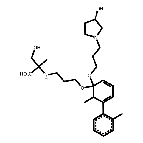 Cc1ccccc1C1=CC=CC(OCCCNC(C)(CO)C(=O)O)(OCCCN2CC[C@@H](O)C2)C1C